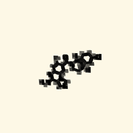 Nc1nc2cc(F)c(C(=O)N3CC[C@H]4C[C@@H]3c3ccc(Cl)cc34)cc2n2cncc12